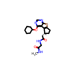 CNC(=O)CNC(=O)C[C@H]1CCc2sc3ncnc(OC4CCCCC4)c3c21